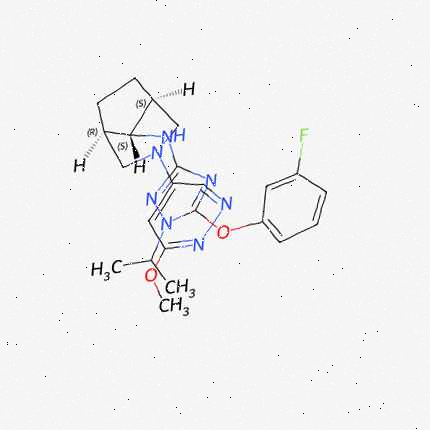 COc1cc(N2C[C@H]3CC[C@@H](C2)[C@@H]3Nc2nc(Oc3cccc(F)c3)n(C(C)C)n2)cnn1